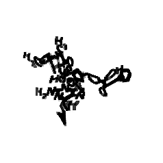 CON[C@@H](C)C(=O)OP(=O)(O)O[C@]1(n2cnc3c(NC4CC4)nc(N)nc32)C=C[C@@H](COC(O)C(=O)c2ccccc2)C1